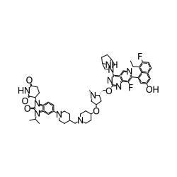 CCc1c(F)ccc2cc(O)cc(-c3ncc4c(N5CC6CCC(C5)N6)nc(OC[C@@H]5C[C@@H](OC6CCN(CC7CCN(c8ccc9c(c8)n(C(C)C)c(=O)n9C8CCC(=O)NC8=O)CC7)CC6)CN5C)nc4c3F)c12